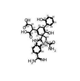 N=C(N)c1ccc2[nH]c(C3(CNC(N)=O)C=C(C(CC(=O)O)C(=O)O)CC(c4ccccc4O)=C3O)nc2c1